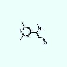 Cc1cc(C(=CC=O)N(C)C)cc(C)n1